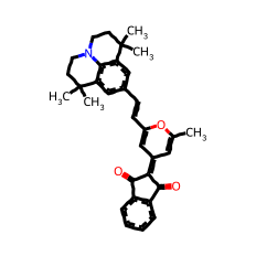 CC1=CC(=C2C(=O)c3ccccc3C2=O)C=C(C=Cc2cc3c4c(c2)C(C)(C)CCN4CCC3(C)C)O1